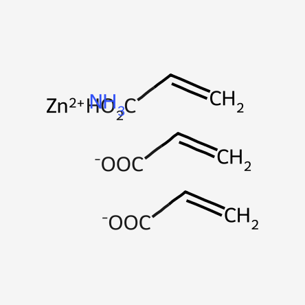 C=CC(=O)O.C=CC(=O)[O-].C=CC(=O)[O-].N.[Zn+2]